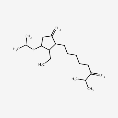 C=C(CCCCCC1C(=C)CC(SC(C)C)C1CC)C(C)C